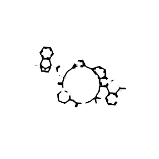 CCn1c(-c2cccnc2[C@H](C)OC)c2c3cc(ccc31)-c1csc(n1)C[C@H](NC(=O)[C@@]13CC[C@@H](C1)c1ccccc13)C(=O)N1CCC[C@H](N1)C(=O)OCC(C)(C)C2